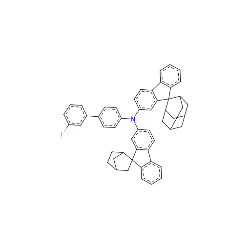 Fc1cccc(-c2ccc(N(c3ccc4c(c3)C3(CC5CCC3C5)c3ccccc3-4)c3ccc4c(c3)C3(c5ccccc5-4)C4CC5CC(C4)CC3C5)cc2)c1